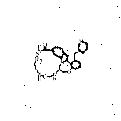 O=C1NSNCCNCCNC2COc3cccc(Cc4cccnc4)c3-c3cc4ccc1cc4n3C2